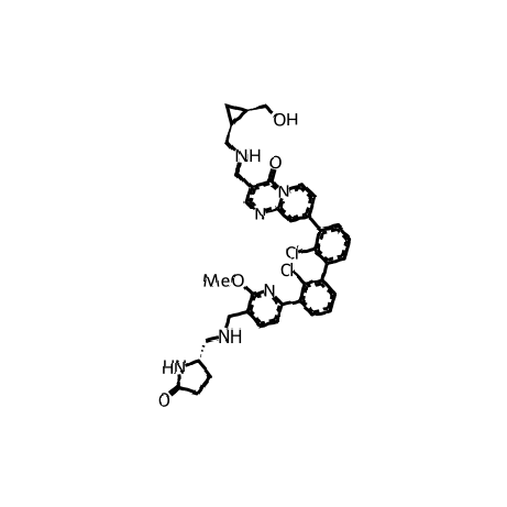 COc1nc(-c2cccc(-c3cccc(-c4ccn5c(=O)c(CNC[C@H]6C[C@H]6CO)cnc5c4)c3Cl)c2Cl)ccc1CNC[C@@H]1CCC(=O)N1